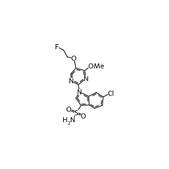 COc1nc(-n2cc(S(N)(=O)=O)c3ccc(Cl)cc32)ncc1OCCF